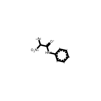 CC(=O)C(C(=O)Nc1ccccc1)[N+](=O)[O-]